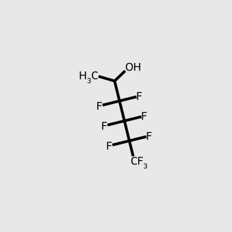 CC(O)C(F)(F)C(F)(F)C(F)(F)C(F)(F)F